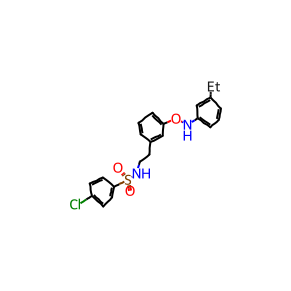 CCc1cccc(NOc2cccc(CCNS(=O)(=O)c3ccc(Cl)cc3)c2)c1